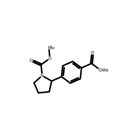 COC(=O)c1ccc(C2CCCN2C(=O)OC(C)(C)C)cc1